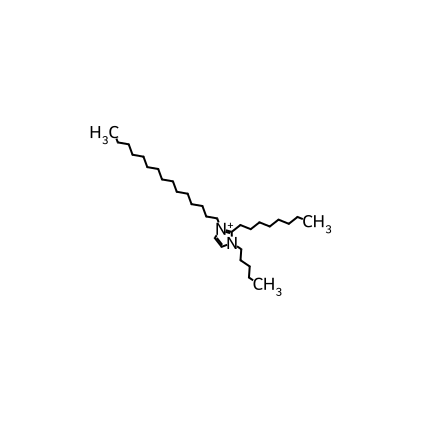 CCCCCCCCCCCCCCC[n+]1ccn(CCCCC)c1CCCCCCCC